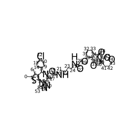 Cc1sc2c(c1C)C(c1ccc(Cl)cc1)=N[C@@H](CC(=O)NCCCCNC(=O)COc1cccc3c1C(=O)N([C@]1(C)CCCOOC1)C3=O)c1nnc(C)n1-2